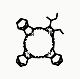 CCc1c(C(C)CC)c2cc3nc(cc4[nH]c(cc5nc(cc1[nH]2)C1=C5C2C=CC1CC2)c1c4C2C=CC1CC2)C1=C3C2C=CC1CC2